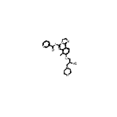 Cc1c(OCC(CN2CCOCC2)N=O)ccc2c1N=C(NC(=O)c1cccnc1)N1CCN=C21